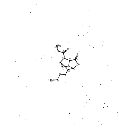 CC(C)(C)OC(=O)C1C2CC3C(OC(=O)C31)C2CCCO